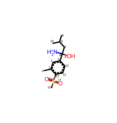 Cc1cc(C(N)(O)CC(C)C)ccc1S(C)(=O)=O